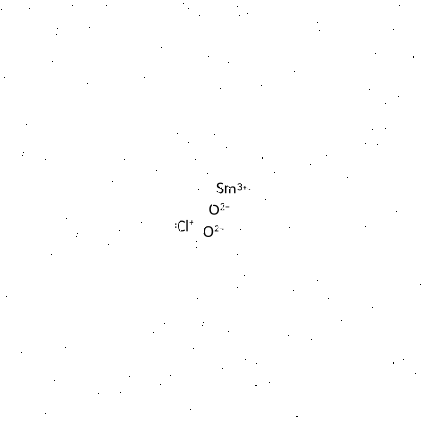 [Cl+].[O-2].[O-2].[Sm+3]